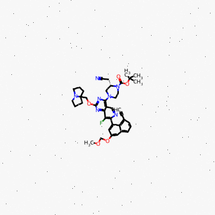 C#Cc1cccc2cc(OCOC)cc(-c3ncc4c(N5CCN(C(=O)OC(C)(C)C)[C@@H](CC#N)C5)nc(OCC56CCCN5CCC6)nc4c3F)c12